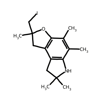 Cc1c(C)c2c(c3c1NC(C)(C)C3)CC(C)(CI)O2